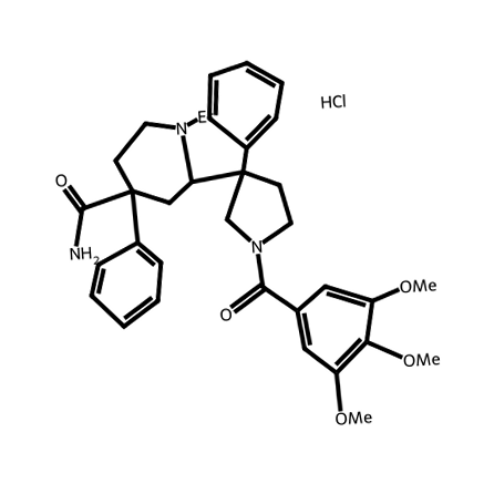 CCN1CCC(C(N)=O)(c2ccccc2)CC1C1(c2ccccc2)CCN(C(=O)c2cc(OC)c(OC)c(OC)c2)C1.Cl